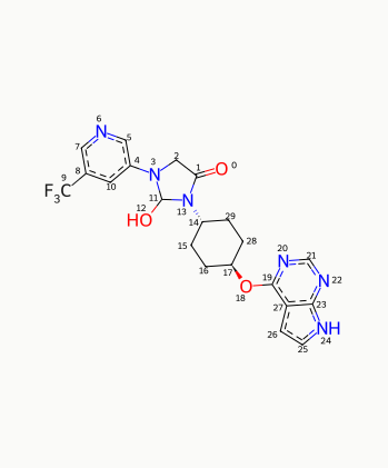 O=C1CN(c2cncc(C(F)(F)F)c2)C(O)N1[C@H]1CC[C@H](Oc2ncnc3[nH]ccc23)CC1